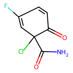 NC(=O)C1(Cl)C=C(F)C=CC1=O